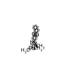 CCOC(=O)c1cnc(N2CCN(S(=O)(=O)c3ccc4ccccc4c3)CC2)nc1N(C)C